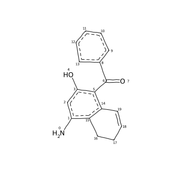 Nc1cc(O)c(C(=O)c2ccccc2)c2c1CCC=C2